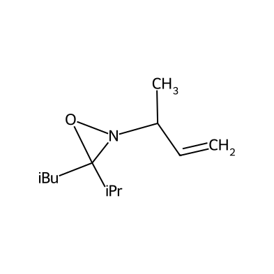 C=CC(C)N1OC1(C(C)C)C(C)CC